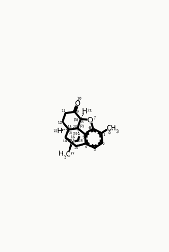 Cc1ccc2c3c1O[C@@H]1C(=O)CC[C@@H]4C(C2)N(C)CC[C@@]314